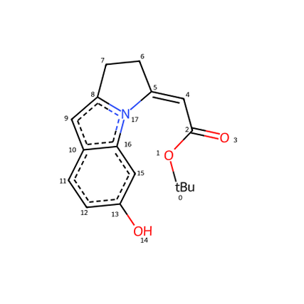 CC(C)(C)OC(=O)C=C1CCc2cc3ccc(O)cc3n21